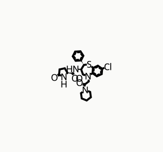 O=C1CC[C@@H](C(=O)N[C@@H]2C(=O)N(CC(=O)N3CCCCC3)c3ccc(Cl)cc3S[C@H]2c2ccccc2)N1